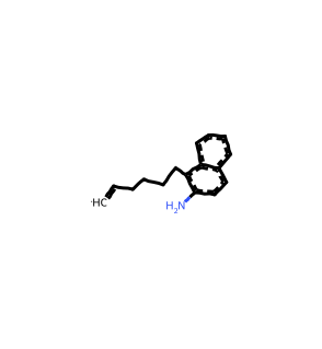 [CH]=CCCCCc1c(N)ccc2ccccc12